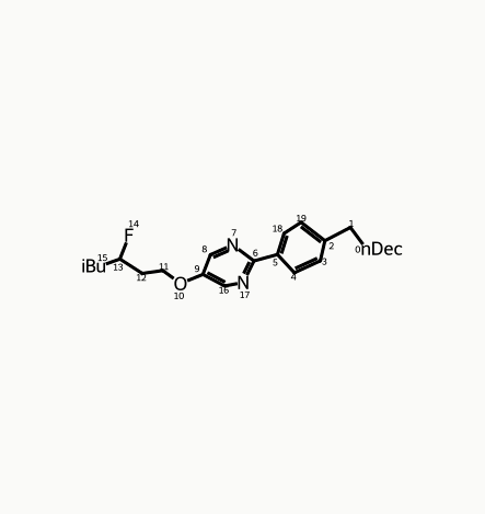 CCCCCCCCCCCc1ccc(-c2ncc(OCCC(F)C(C)CC)cn2)cc1